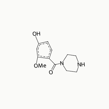 COc1cc(O)ccc1C(=O)N1CCNCC1